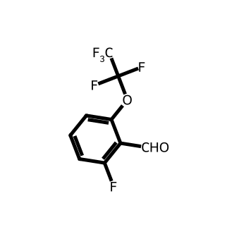 O=Cc1c(F)cccc1OC(F)(F)C(F)(F)F